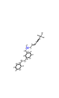 CN(C/C=C/C#CC(C)(C)C)Cc1cccc(CCc2ccccc2)c1